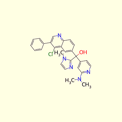 CN(C)c1cc(C(O)(c2ccc3ncc(-c4ccccc4)c(Cl)c3c2)c2nccn2C)ccn1